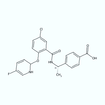 C[C@H](NC(=O)c1cc(Cl)ccc1OC1C=CC(F)=CN1)c1ccc(C(=O)O)cc1